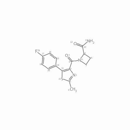 Cc1nc(C(=O)N2CCC2C(N)=O)c(-c2ccc(F)cc2)s1